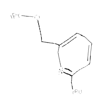 CC(C)OCc1cccc(C(C)(C)C)n1